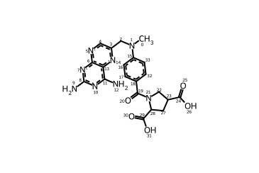 CN(Cc1cnc2nc(N)nc(N)c2n1)c1ccc(C(=O)N2CC(C(=O)O)CC2C(=O)O)cc1